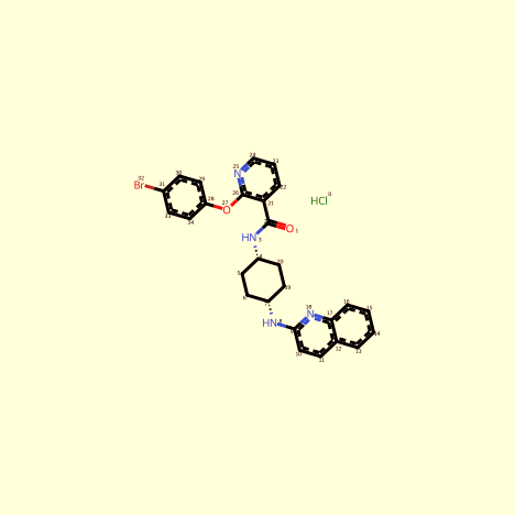 Cl.O=C(N[C@H]1CC[C@@H](Nc2ccc3ccccc3n2)CC1)c1cccnc1Oc1ccc(Br)cc1